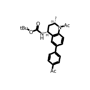 CC(=O)c1ccc(-c2ccc3c(c2)[C@H](NC(=O)OC(C)(C)C)C[C@H](C)N3C(C)=O)cc1